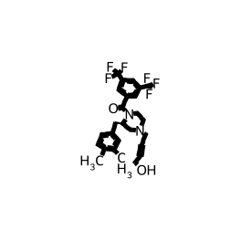 Cc1ccc(C[C@@H]2CN(CC#CCO)CCN2C(=O)c2cc(C(F)(F)F)cc(C(F)(F)F)c2)cc1C